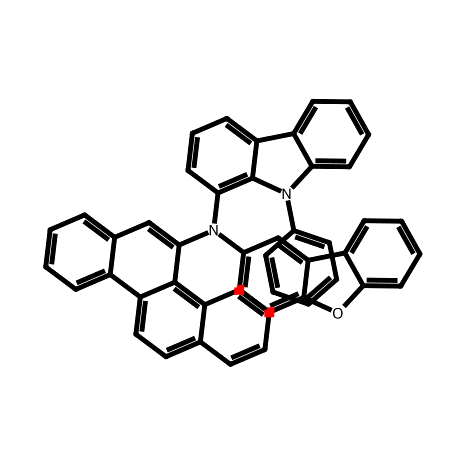 c1ccc(-n2c3ccccc3c3cccc(N(c4ccc5oc6ccccc6c5c4)c4cc5ccccc5c5ccc6ccccc6c45)c32)cc1